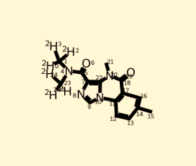 [2H]C([2H])([2H])N(C(=O)c1ncn2c3ccc(C)cc3c(=O)n(C)c12)C([2H])([2H])[2H]